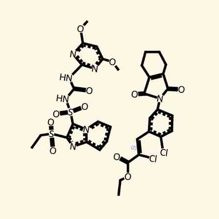 CCOC(=O)/C(Cl)=C/c1cc(N2C(=O)C3=C(CCCC3)C2=O)ccc1Cl.CCS(=O)(=O)c1nc2ccccn2c1S(=O)(=O)NC(=O)Nc1nc(OC)cc(OC)n1